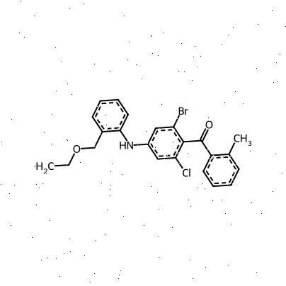 [CH2]COCc1ccccc1Nc1cc(Cl)c(C(=O)c2ccccc2C)c(Br)c1